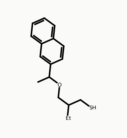 CCC(CS)COC(C)c1ccc2ccccc2c1